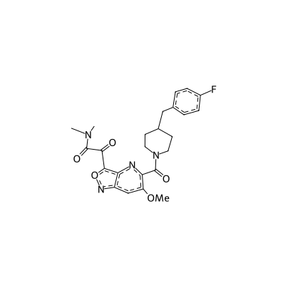 COc1cc2noc(C(=O)C(=O)N(C)C)c2nc1C(=O)N1CCC(Cc2ccc(F)cc2)CC1